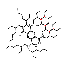 CCCCC(CC)CN(CC(CC)CCCC)C(=O)c1cc(C(=O)N(CC(CC)CCCC)CC(CC)CCCC)c(C(=O)N(CC(CC)CCCC)CC(CC)CCCC)cc1C(=O)N(CC(CC)CCCC)CC(CC)CCCC